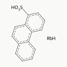 O=S(=O)(O)c1cccc2c1ccc1ccccc12.[RbH]